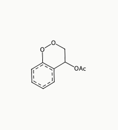 CC(=O)OC1COOc2ccccc21